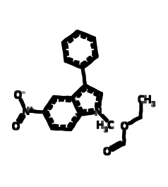 CCOC=O.Cn1cc(-c2ccccc2)c2cc([N+](=O)[O-])ccc21